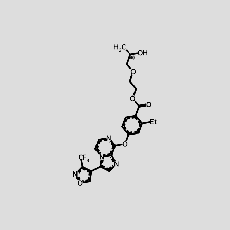 CCc1cc(Oc2nccn3c(-c4conc4C(F)(F)F)cnc23)ccc1C(=O)OCCOC[C@@H](C)O